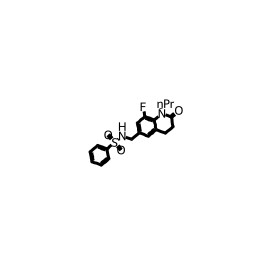 CCCN1C(=O)CCc2cc(CNS(=O)(=O)c3ccccc3)cc(F)c21